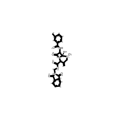 C=C1C[S+]([O-])[C@H]2C(NC(=O)c3cccc(C)c3)C(=O)N2C1C(=O)OCN1C(=O)c2ccccc2C1=O